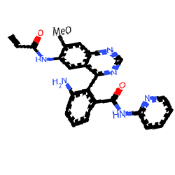 C=CC(=O)Nc1cc2c(-c3c(N)cccc3C(=O)Nc3ccccn3)ncnc2cc1OC